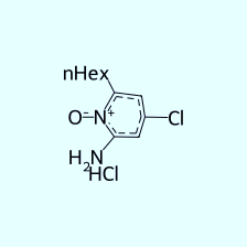 CCCCCCc1cc(Cl)cc(N)[n+]1[O-].Cl